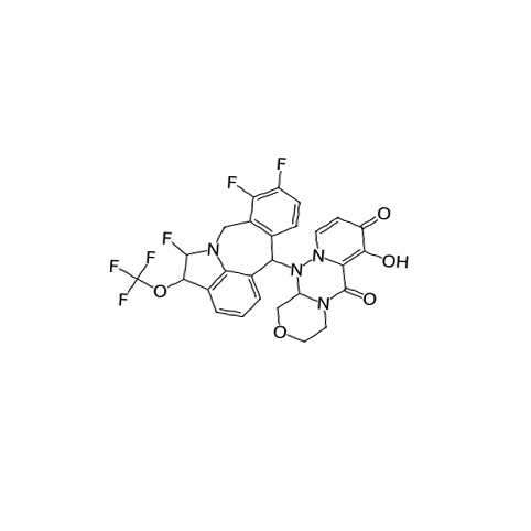 O=C1c2c(O)c(=O)ccn2N(C2c3ccc(F)c(F)c3CN3c4c(cccc42)C(OC(F)(F)F)C3F)C2COCCN12